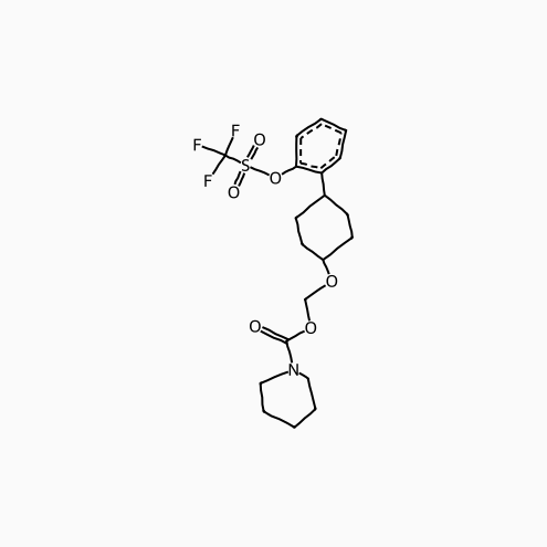 O=C(OCOC1CCC(c2ccccc2OS(=O)(=O)C(F)(F)F)CC1)N1CCCCC1